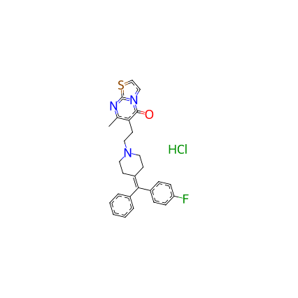 Cc1nc2sccn2c(=O)c1CCN1CCC(=C(c2ccccc2)c2ccc(F)cc2)CC1.Cl